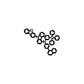 c1ccc([Si](c2ccccc2)(c2ccccc2)c2cccc(N(c3ccc(-c4cccc5ccccc45)cc3)c3cccc4c3c3ccccc3n4-c3ccc4c(c3)oc3ccccc34)c2)cc1